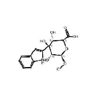 O=C(O)[C@H]1O[C@@H](OCl)[C@H](O)[C@](O)(c2cc3ccccc3[nH]2)[C@@H]1O